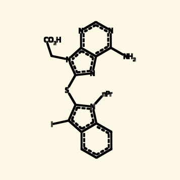 CCCn1c(Sc2nc3c(N)ncnc3n2CC(=O)O)c(I)c2ccccc21